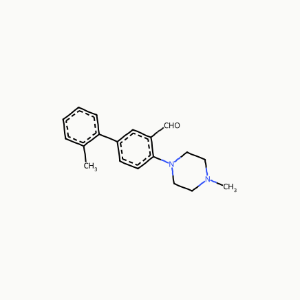 Cc1ccccc1-c1ccc(N2CCN(C)CC2)c(C=O)c1